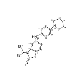 CCC(CC)N1C(=O)Cc2cnc(Nc3ccc(N4CCCCC4)cc3)nc21